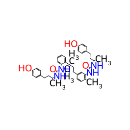 Cc1ccc(CCC(C)(C)c2ccccc2NC(=O)NC(C)CCc2ccc(O)cc2)cc1NC(=O)NC(C)CCc1ccc(O)cc1